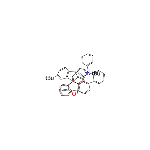 CC(C)(C)c1ccc2c(c1)C1(c3ccccc3Oc3ccc(-c4ccccc4N(c4ccccc4)c4ccc5c(c4)C(C)(C)c4ccccc4-5)cc31)c1cc(C(C)(C)C)ccc1-2